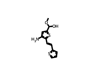 COC(O)c1cc(N)c(/C=C/c2cccs2)s1